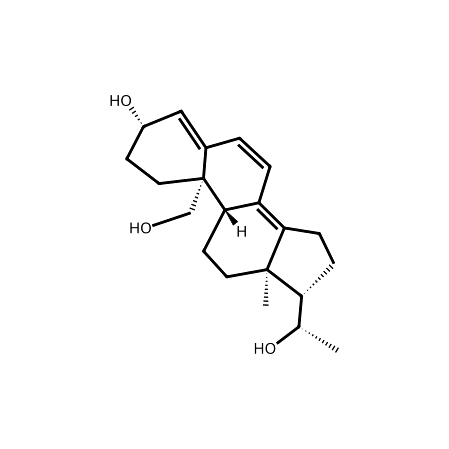 C[C@H](O)[C@H]1CCC2=C3C=CC4=C[C@@H](O)CC[C@]4(CO)[C@H]3CC[C@@]21C